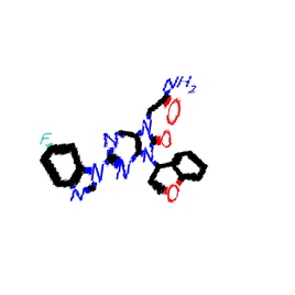 NC(=O)Cn1c(=O)n(C2CCOc3ccccc32)c2nc(-n3cnc4ccc(F)cc43)ncc21